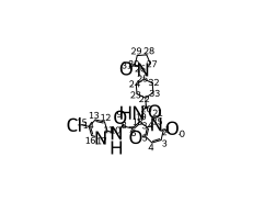 COc1ccc2oc(C(=O)Nc3ccc(Cl)cn3)c(NC(=O)[C@H]3CC[C@H](N4CCCC4=O)CC3)c2n1